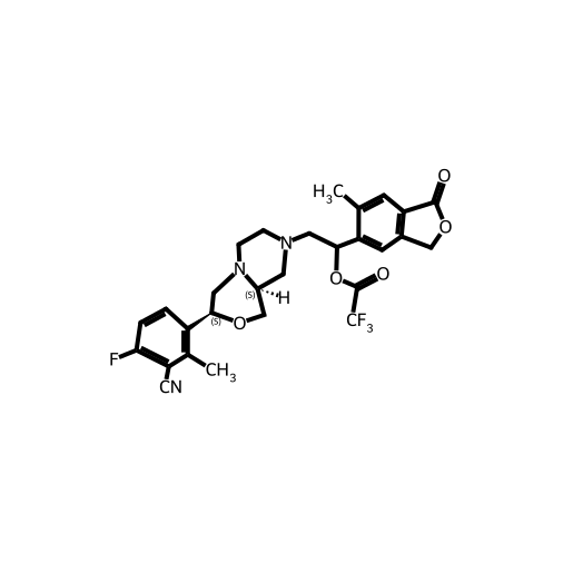 Cc1cc2c(cc1C(CN1CCN3C[C@H](c4ccc(F)c(C#N)c4C)OC[C@@H]3C1)OC(=O)C(F)(F)F)COC2=O